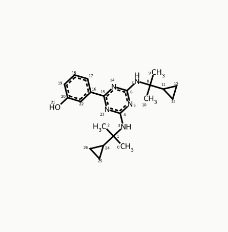 CC(C)(Nc1nc(NC(C)(C)C2CC2)nc(-c2cccc(O)c2)n1)C1CC1